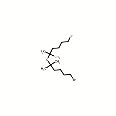 CC(C)(CCCCBr)SC(C)(C)CCCCBr